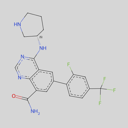 NC(=O)c1cc(-c2ccc(C(F)(F)F)cc2F)cc2c(N[C@H]3CCCNC3)ncnc12